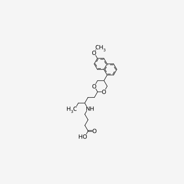 CCC(CCC1OCC(c2cccc3cc(OC)ccc23)CO1)NCCCC(=O)O